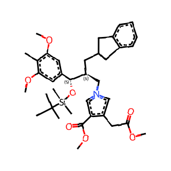 COC(=O)Cc1cn(C[C@H](CC2Cc3ccccc3C2)[C@H](O[Si](C)(C)C(C)(C)C)c2cc(OC)c(C)c(OC)c2)cc1C(=O)OC